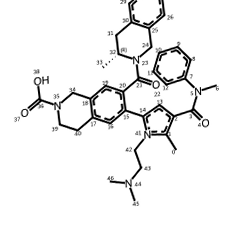 Cc1c(C(=O)N(C)c2ccccc2)cc(-c2cc3c(cc2C(=O)N2Cc4ccccc4C[C@H]2C)CN(C(=O)O)CC3)n1CCN(C)C